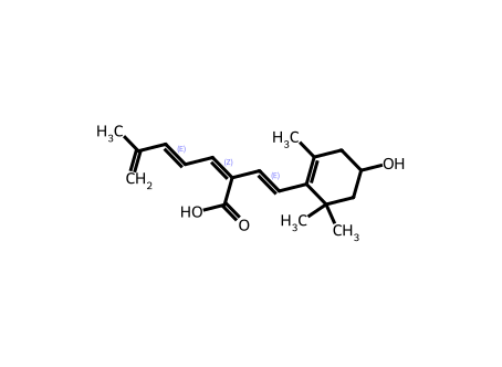 C=C(C)/C=C/C=C(/C=C/C1=C(C)CC(O)CC1(C)C)C(=O)O